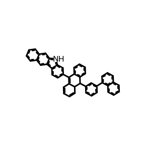 C1=CC2=C(c3ccc4c(c3)[nH]c3cc5ccccc5cc34)c3ccccc3C(c3cccc(-c4cccc5ccccc45)c3)C2C=C1